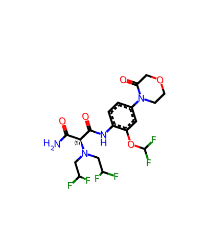 NC(=O)[C@@H](C(=O)Nc1ccc(N2CCOCC2=O)cc1OC(F)F)N(CC(F)F)CC(F)F